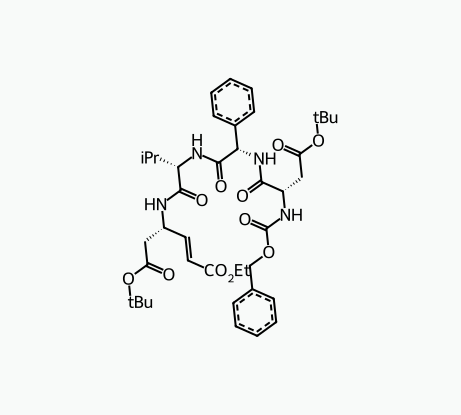 CCOC(=O)/C=C/[C@H](CC(=O)OC(C)(C)C)NC(=O)[C@@H](NC(=O)[C@@H](NC(=O)[C@H](CC(=O)OC(C)(C)C)NC(=O)OCc1ccccc1)c1ccccc1)C(C)C